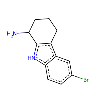 NC1CCCc2c1[nH]c1ccc(Br)cc21